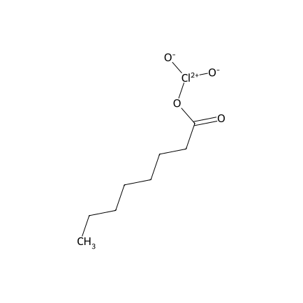 CCCCCCCC(=O)O[Cl+2]([O-])[O-]